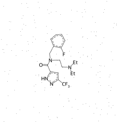 CCN(CC)CCN(Cc1ccccc1F)C(=O)c1cc(C(F)(F)F)n[nH]1